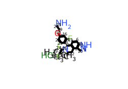 C[C@@H]1Cc2c(ccc3[nH]ncc23)[C@@H](c2c(F)cc(OCCN)cc2F)N1CC(C)(C)F.Cl